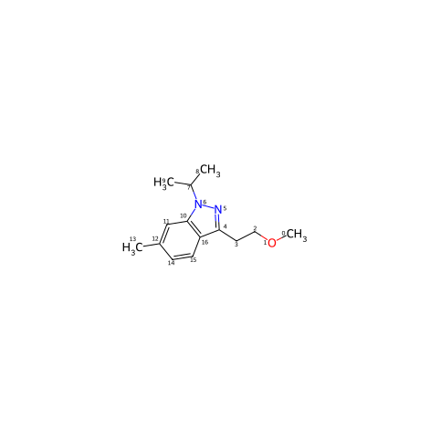 COCCc1nn(C(C)C)c2cc(C)ccc12